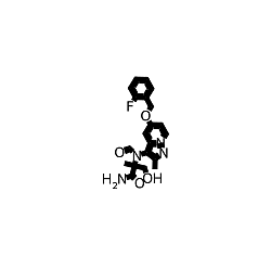 Cc1nn2ccc(OCc3ccccc3F)cc2c1N(C=O)C(C)(CO)C(N)=O